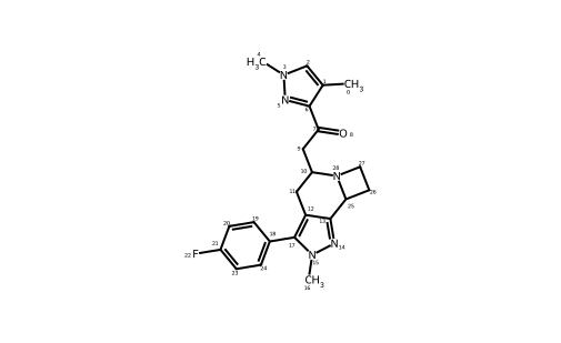 Cc1cn(C)nc1C(=O)CC1Cc2c(nn(C)c2-c2ccc(F)cc2)C2CCN12